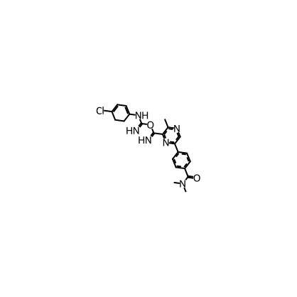 Cc1ncc(-c2ccc(C(=O)N(C)C)cc2)nc1C(=N)OC(=N)NC1=CC=C(Cl)CC1